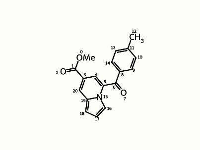 COC(=O)c1cc(C(=O)c2ccc(C)cc2)n2cccc2c1